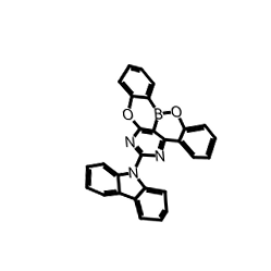 c1ccc2c(c1)Oc1nc(-n3c4ccccc4c4ccccc43)nc3c1B2Oc1ccccc1-3